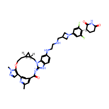 Cc1cc2cc(n1)-c1cnn(C)c1OCC[C@H]1C[C@@H]1CN1/C(=N/C2=O)Nc2ccc(NCCNCC3CN(c4cc(F)c([C@H]5CCC(=O)NC5=O)c(F)c4)C3)cc21